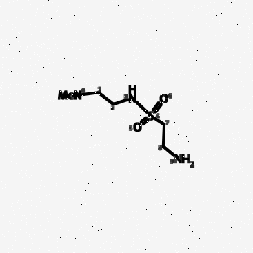 CNCCNS(=O)(=O)CCN